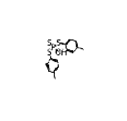 Cc1ccc(SP(O)(=S)Sc2ccc(C)cc2)cc1